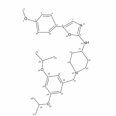 COc1ccc(-c2cnc(NC3CCN(Cc4cc(OC(C)C)cc(OC(C)C)c4)CC3)o2)cc1